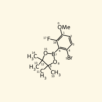 COc1ccc(Br)c(B2OC(C)(C)C(C)(C)O2)c1F